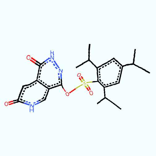 CC(C)c1cc(C(C)C)c(S(=O)(=O)Oc2n[nH]c(=O)c3cc(=O)[nH]cc23)c(C(C)C)c1